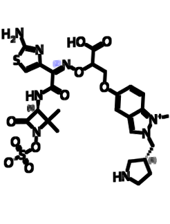 C[n+]1c2ccc(OCC(O/N=C(\C(=O)N[C@@H]3C(=O)N(OS(=O)(=O)[O-])C3(C)C)c3csc(N)n3)C(=O)O)cc2cn1C[C@@H]1CCNC1